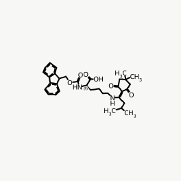 CC(C)CC(NCCCC[C@@H](NC(=O)OCC1c2ccccc2-c2ccccc21)C(=O)O)=C1C(=O)CC(C)(C)CC1=O